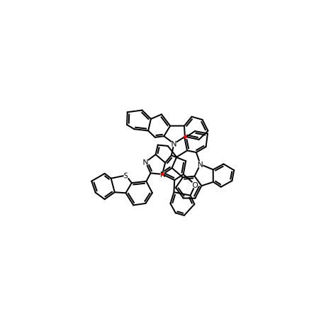 C1=C(c2cc3c(cc2-n2c4ccccc4c4cc5ccccc5cc42)oc2ccccc23)/N=C(c2cccc3c2sc2ccccc23)\N=C2\c3cccc4c5ccccc5n(c34)-c3ccccc3C2C/1